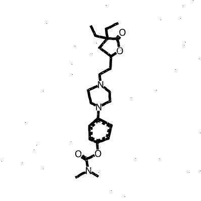 CCC1(CC)CC(CCN2CCN(c3ccc(OC(=O)N(C)C)cc3)CC2)OC1=O